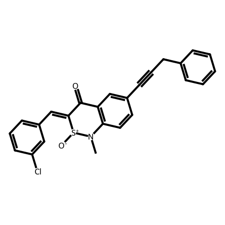 CN1c2ccc(C#CCc3ccccc3)cc2C(=O)/C(=C/c2cccc(Cl)c2)[S+]1[O-]